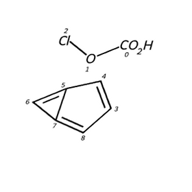 O=C(O)OCl.c1cc2cc-2c1